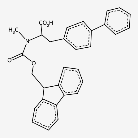 CN(C(=O)OCC1c2ccccc2-c2ccccc21)C(Cc1ccc(-c2ccccc2)cc1)C(=O)O